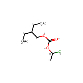 CC(=O)OCC(COC(C)=O)COC(=O)OC(C)Cl